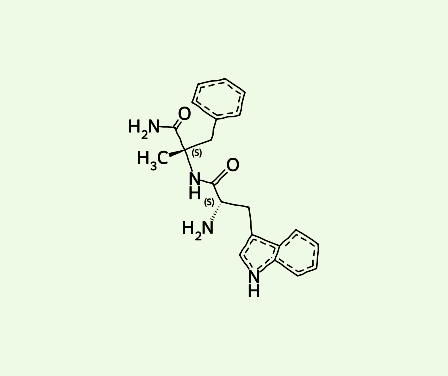 C[C@@](Cc1ccccc1)(NC(=O)[C@@H](N)Cc1c[nH]c2ccccc12)C(N)=O